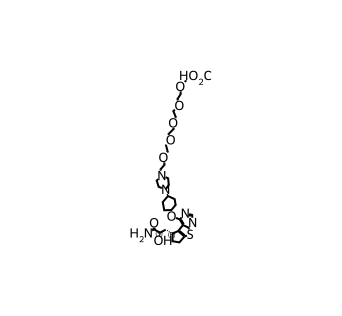 NC(=O)[C@@H](O)C[C@H]1CCc2sc3ncnc(O[C@H]4CC[C@H](N5CCN(CCOCCOCCOCCOCCOCC(=O)O)CC5)CC4)c3c21